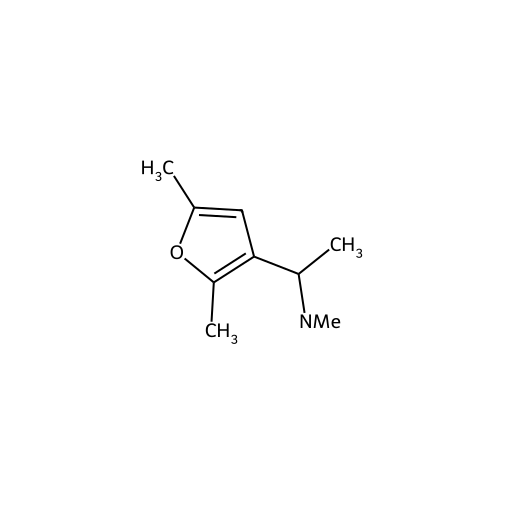 CNC(C)c1cc(C)oc1C